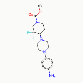 CC(C)(C)OC(=O)N1CC[C@@H](N2CCN(c3ccc(N)cc3)CC2)C(F)(F)C1